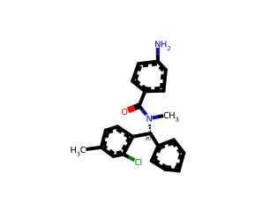 Cc1ccc([C@@H](c2ccccc2)N(C)C(=O)c2ccc(N)cc2)c(Cl)c1